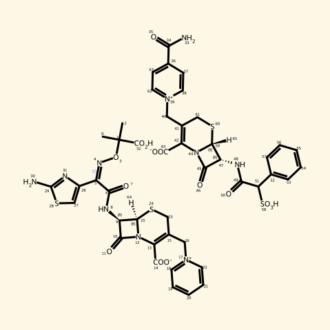 CC(C)(O/N=C(\C(=O)N[C@@H]1C(=O)N2C(C(=O)[O-])=C(C[n+]3ccccc3)CS[C@H]12)c1csc(N)n1)C(=O)O.NC(=O)c1cc[n+](CC2=C(C(=O)[O-])N3C(=O)[C@@H](NC(=O)C(c4ccccc4)S(=O)(=O)O)[C@H]3SC2)cc1